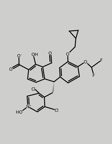 O=Cc1c([C@@H](Cc2c(Cl)c[n+](O)cc2Cl)c2ccc(OC(F)F)c(OCC3CC3)c2)ccc(C(=O)[O-])c1O